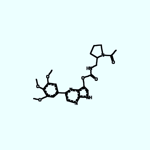 COc1cc(-c2cnc3[nH]cc(OC(=O)NCC4CCCN4C(C)=O)c3n2)cc(OC)c1OC